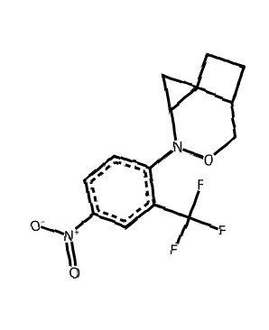 O=[N+]([O-])c1ccc(N2OCC3CCC34CC24)c(C(F)(F)F)c1